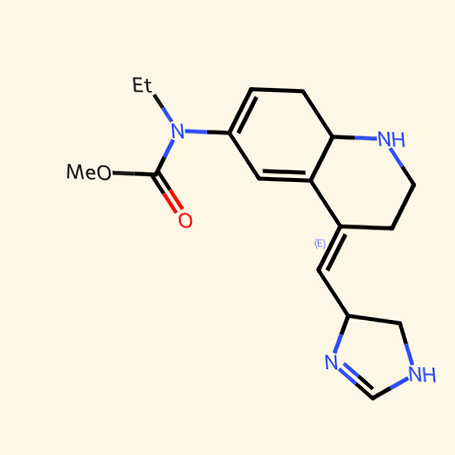 CCN(C(=O)OC)C1=CCC2NCC/C(=C\C3CNC=N3)C2=C1